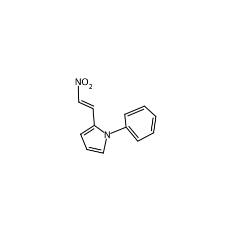 O=[N+]([O-])C=Cc1cccn1-c1ccccc1